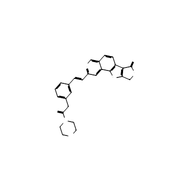 O=C1NCc2[nH]c3c(ccc4cnc(/C=C/c5cccc(CC(=O)N6CCOCC6)c5)cc43)c21